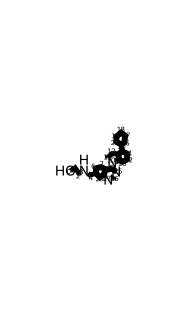 OCCNCc1ccc2c(N3CCc4c(-c5ccccc5)cccc43)ncnc2c1